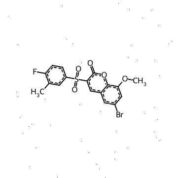 COc1cc(Br)cc2cc(S(=O)(=O)c3ccc(F)c(C)c3)c(=O)oc12